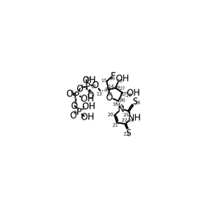 O=P(O)(O)OP(=O)(O)OP(=O)(O)OC[C@@]1(CF)O[C@@H](n2ccc(=S)[nH]c2=S)[C@@H](O)C1O